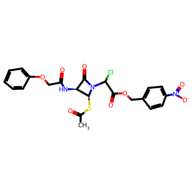 CC(=O)S[C@H]1[C@@H](NC(=O)COc2ccccc2)C(=O)N1C(Cl)C(=O)OCc1ccc([N+](=O)[O-])cc1